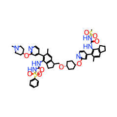 Cc1cc2c(c(NC(=O)NS(C)(=O)=O)c1-c1ccnc(O[C@H]3CC[C@@H](OCC4CCc5c4cc(C)c(-c4ccnc(OC6CCN(C)CC6)c4)c5NC(=O)NS(=O)(=O)c4ccccc4)CC3)c1)CCC2